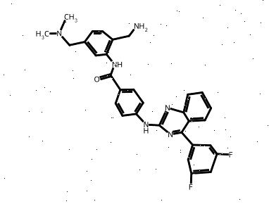 CN(C)Cc1ccc(CN)c(NC(=O)c2ccc(Nc3nc(-c4cc(F)cc(F)c4)c4ccccc4n3)cc2)c1